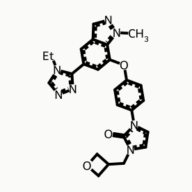 CCn1cnnc1-c1cc(Oc2ccc(-n3ccn(CC4COC4)c3=O)cc2)c2c(cnn2C)c1